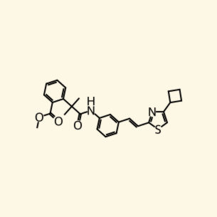 COC(=O)c1ccccc1C(C)(C)C(=O)Nc1cccc(C=Cc2nc(C3CCC3)cs2)c1